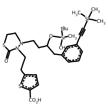 CC(C)(C)[Si](C)(C)OC(CCN1CCSC(=O)N1CCc1ccc(C(=O)O)s1)Cc1cccc(C#C[Si](C)(C)C)c1